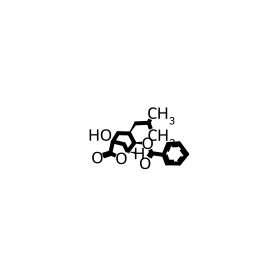 CC(C)C[C@@H]1C[C@]2(O)C[C@H](OC2=O)[C@@H]1OC(=O)c1ccccc1